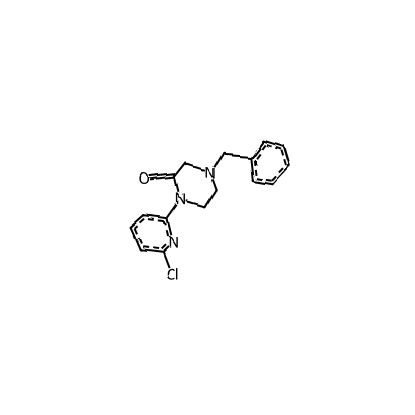 O=C1CN(Cc2ccccc2)CCN1c1cccc(Cl)n1